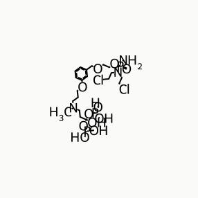 CN(CCCOc1cccc(COCCOP(N)(=O)N(CCCl)CCCl)c1)CCC(O)(OP(O)O)O[PH](=O)O